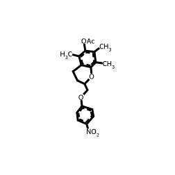 CC(=O)Oc1c(C)c(C)c2c(c1C)CCC(COc1ccc([N+](=O)[O-])cc1)O2